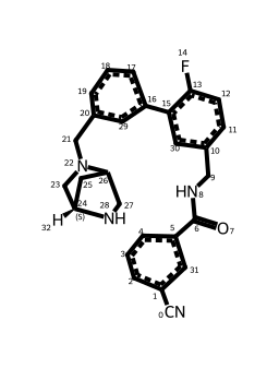 N#Cc1cccc(C(=O)NCc2ccc(F)c(-c3cccc(CN4C[C@@H]5CC4CN5)c3)c2)c1